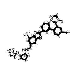 Cn1cnnc1-c1cc(F)ccc1-c1cccc(-c2nc3cc(CN[C@@H]4CCC[C@@H]4O[Si](C)(C)C(C)(C)C)cc(Cl)c3o2)c1